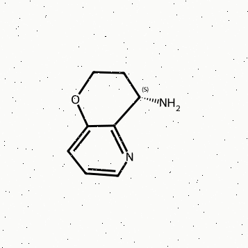 N[C@H]1CCOc2cccnc21